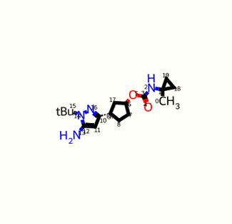 CC1(NC(=O)OC2CC[C@H](c3cc(N)n(C(C)(C)C)n3)C2)CC1